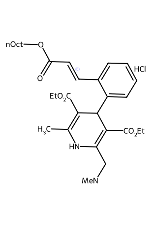 CCCCCCCCOC(=O)/C=C/c1ccccc1C1C(C(=O)OCC)=C(C)NC(CNC)=C1C(=O)OCC.Cl